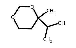 CC(O)C1(C)CCOCO1